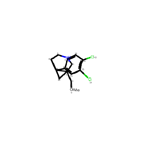 COCC12CNCCC1(c1ccc(Cl)c(Cl)c1)C2